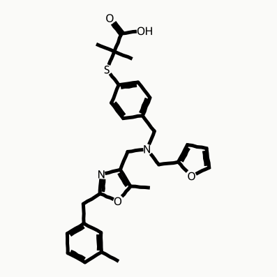 Cc1cccc(Cc2nc(CN(Cc3ccc(SC(C)(C)C(=O)O)cc3)Cc3ccco3)c(C)o2)c1